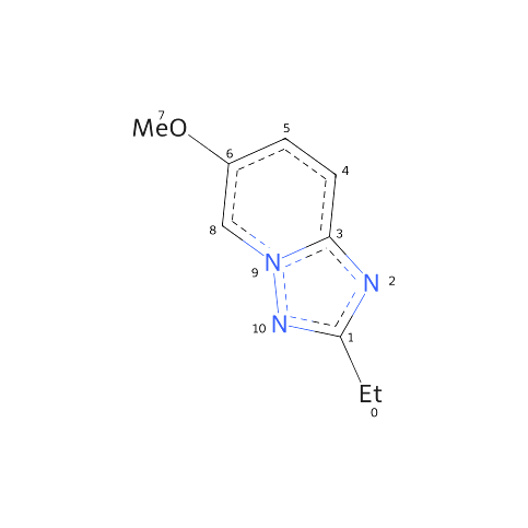 CCc1nc2ccc(OC)cn2n1